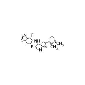 C[C@H]1[C@@H](c2cc3c(Nc4c(F)cc5scnc5c4F)ccnc3s2)CCCN1C